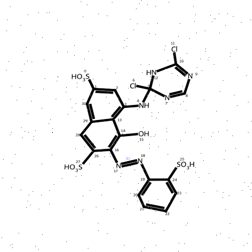 O=S(=O)(O)c1cc(NC2(Cl)N=CN=C(Cl)N2)c2c(O)c(/N=N/c3ccccc3S(=O)(=O)O)c(S(=O)(=O)O)cc2c1